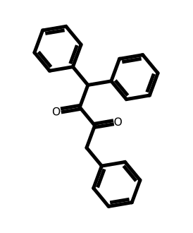 O=C(Cc1ccccc1)C(=O)C(c1ccccc1)c1ccccc1